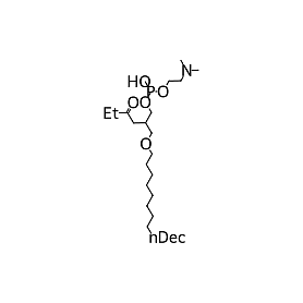 CCCCCCCCCCCCCCCCCCOCC(COP(O)OCCN(C)C)CC(=O)CC